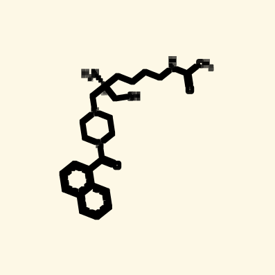 CC(=O)NCCCC[C@@](N)(CS)CN1CCN(C(=O)c2cccc3ccccc23)CC1